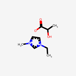 CC(O)C(=O)[O-].CCn1cc[n+](C)c1